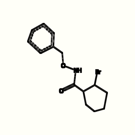 O=C(NOCc1ccccc1)C1CCCCC1Br